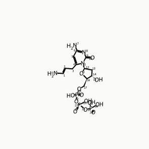 NC=CCc1cc(N)nc(=O)n1[C@H]1C[C@H](O)[C@@H](COP(=O)(O)OP(=O)(O)OP(=O)(O)O)O1